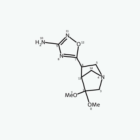 COC1(OC)CN2CC(c3nc(N)no3)C1C2